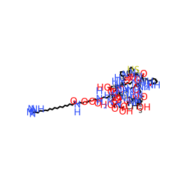 CC(=O)N[C@@H](CCS)C(=O)N1C[C@H](O)C[C@H]1C(=O)NCC(=O)N[C@@H](CCCNC(=N)N)C(=O)N[C@@H](Cc1c[nH]c2ccccc12)C(=O)N[C@@H](CS)C(=O)N1CCC[C@H]1C(=O)N1CCC[C@H]1C(=O)N[C@@H](CCCCN)C(=O)N[C@@H](CC(=O)O)C(=O)N[C@@H](CNC(=O)CN(CC(=O)O)CC(=O)O)C(=O)N[C@@H](CCCCNC(=O)COCCOCCNC(=O)CCCCCCCCCCCCCCCc1nnn[nH]1)C(N)=O